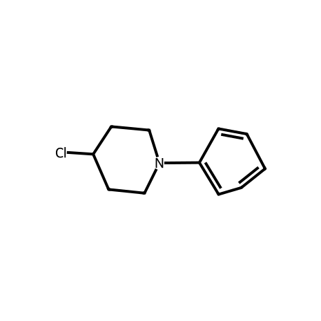 ClC1CCN(c2ccccc2)CC1